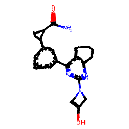 NC(=O)C1CC1c1cccc(-c2nc(N3CC(O)C3)nc3c2CCC3)c1